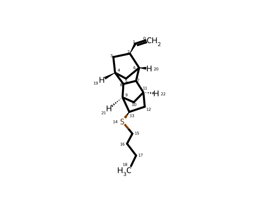 C=C[C@@H]1C[C@@H]2C[C@H]1C1C2[C@H]2C[C@@H]1C[C@H]2SCCCC